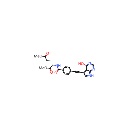 COC(=O)CC[C@H](NC(=O)c1ccc(C#Cc2c[nH]c3ncnc(O)c23)cc1)C(=O)OC